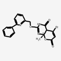 CCC1=CC(=O)O[C@]2(C)N=C(OCc3cccc(-c4ccccc4)n3)NC(=O)C12